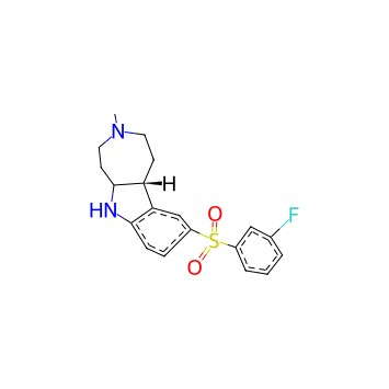 CN1CCC2Nc3ccc(S(=O)(=O)c4cccc(F)c4)cc3[C@H]2CC1